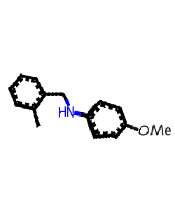 COc1ccc(NCc2ccccc2C)cc1